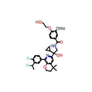 COc1cc(C(=O)NCC(O)(c2cc3c(c(-c4ccc(F)c(C(C)F)c4)n2)OCCC3(C)C)C2CC2)ccc1OCCO